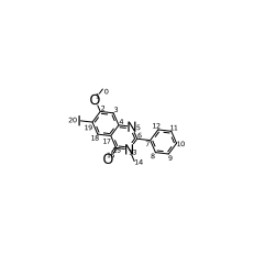 COc1cc2nc(-c3ccccc3)n(C)c(=O)c2cc1I